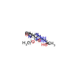 CCCOCCn1c(=O)c(NCCNC[C@@H](C)O)nc2ncc(-c3ccc(OC)nc3)cc21